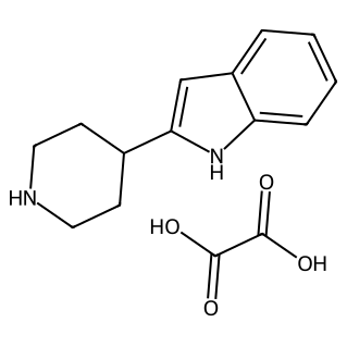 O=C(O)C(=O)O.c1ccc2[nH]c(C3CCNCC3)cc2c1